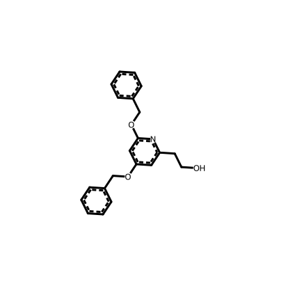 OCCc1cc(OCc2ccccc2)cc(OCc2ccccc2)n1